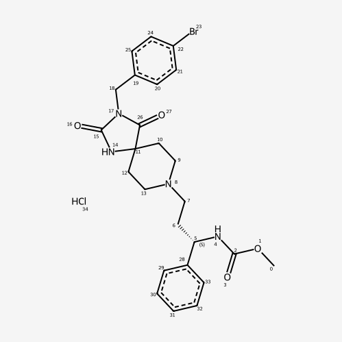 COC(=O)N[C@@H](CCN1CCC2(CC1)NC(=O)N(Cc1ccc(Br)cc1)C2=O)c1ccccc1.Cl